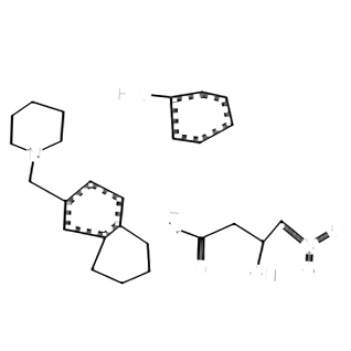 FC(F)(F)c1ccccc1.O=C(CC(O)C=S(=O)=O)N[C@@H]1CCCc2cc(CN3CCCCC3)ccc21